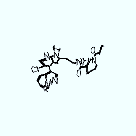 C=CC(=O)N1CCCC(C(=O)NCCc2cc3c(-c4cnn5ncccc45)c(Cl)cnc3[nH]2)C1